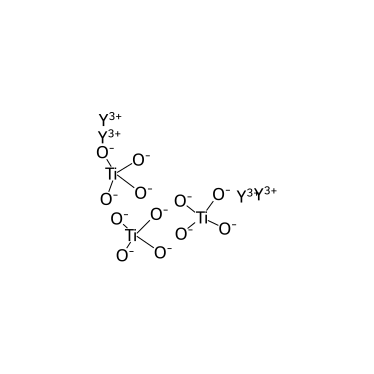 [O-][Ti]([O-])([O-])[O-].[O-][Ti]([O-])([O-])[O-].[O-][Ti]([O-])([O-])[O-].[Y+3].[Y+3].[Y+3].[Y+3]